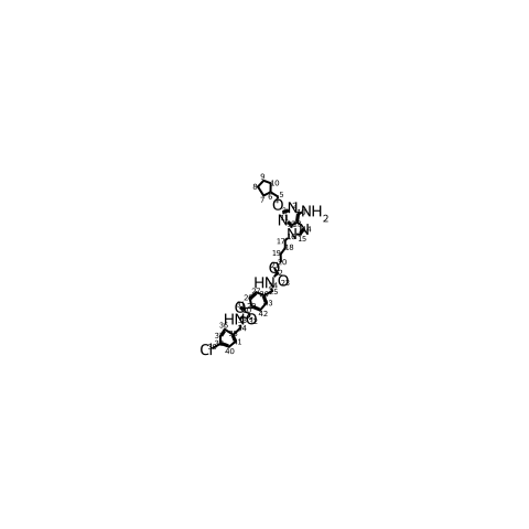 Nc1nc(OCC2CCCC2)nc2c1ncn2CCCCOC(=O)NCc1ccc(S(=O)(=O)NCc2ccc(Cl)cc2)cc1